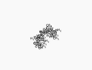 CCC(C)C(CO)NC(=O)C1CCCN1C(=O)C(CC(C)C)NC(=O)C(CC(N)=O)NC(=O)C(C)(C)NC(=O)C1CCCN1C(=O)C(C)(C)NC(=O)C(CC(C)C)NC(=O)C(C)(C)NC(=O)C(CC(N)=O)NC(=O)C(C)(C)NC(C)=O